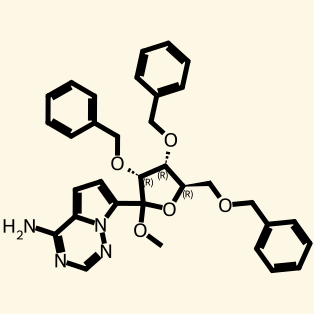 COC1(c2ccc3c(N)ncnn23)O[C@H](COCc2ccccc2)[C@@H](OCc2ccccc2)[C@H]1OCc1ccccc1